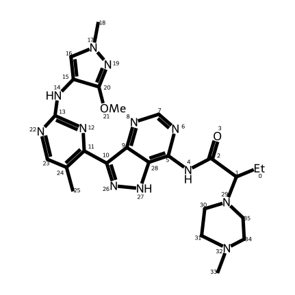 CCC(C(=O)Nc1ncnc2c(-c3nc(Nc4cn(C)nc4OC)ncc3C)n[nH]c12)N1CCN(C)CC1